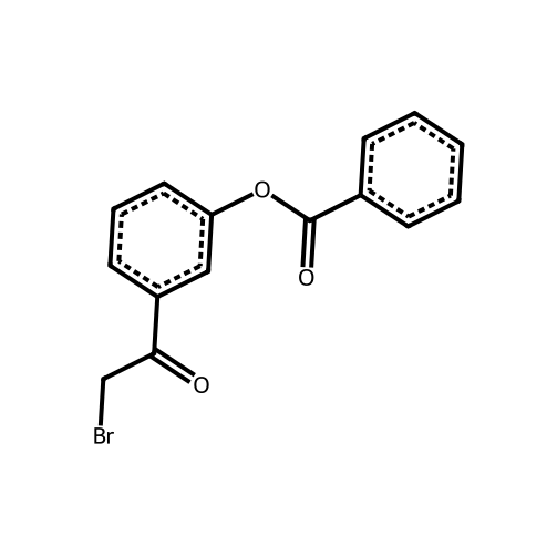 O=C(CBr)c1cccc(OC(=O)c2ccccc2)c1